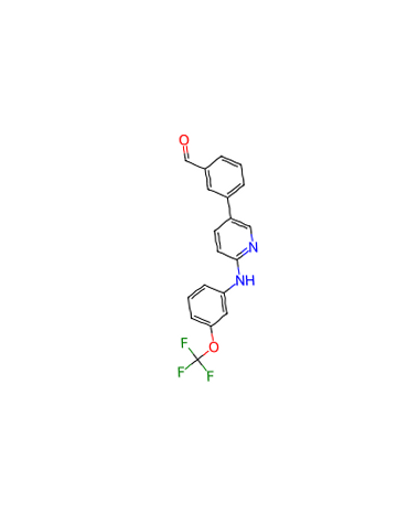 O=Cc1cccc(-c2ccc(Nc3cccc(OC(F)(F)F)c3)nc2)c1